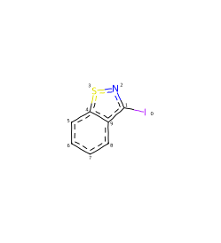 Ic1nsc2ccccc12